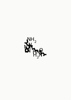 CC(C)CC(N)C(=O)NCCCCn1cnc2c(C(C)CCN)nc3cccnc3c21